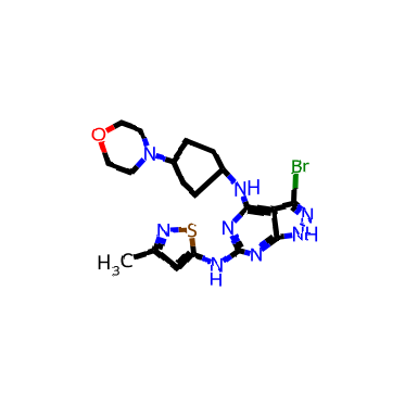 Cc1cc(Nc2nc(NC3CCC(N4CCOCC4)CC3)c3c(Br)n[nH]c3n2)sn1